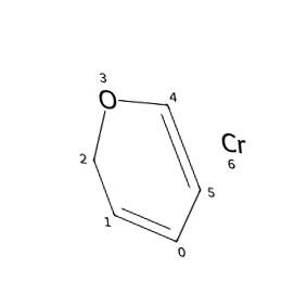 C1=CCOC=C1.[Cr]